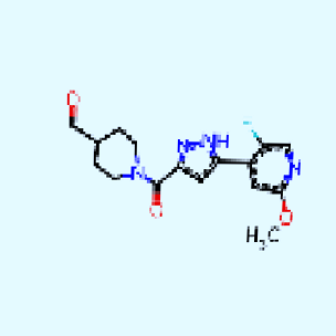 COc1cc(-c2cc(C(=O)N3CCC(C=O)CC3)n[nH]2)c(F)cn1